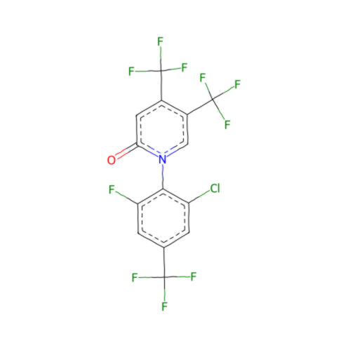 O=c1cc(C(F)(F)F)c(C(F)(F)F)cn1-c1c(F)cc(C(F)(F)F)cc1Cl